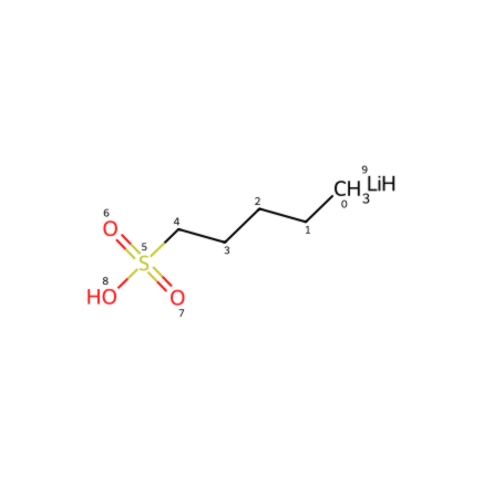 CCCCCS(=O)(=O)O.[LiH]